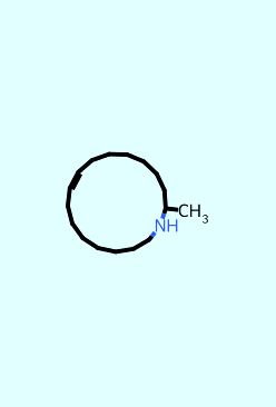 CC1CCCCCC/C=C\CCCCCCCN1